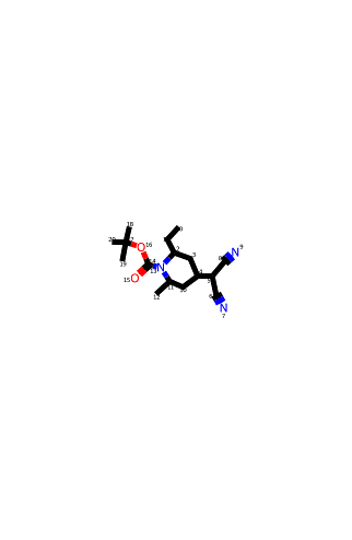 CCC1CC(C(C#N)C#N)CC(C)N1C(=O)OC(C)(C)C